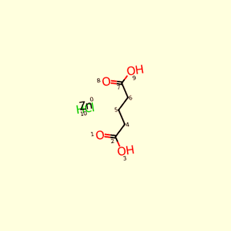 Cl.O=C(O)CCCC(=O)O.[Zn]